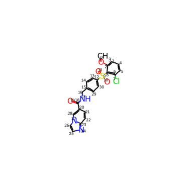 COc1cccc(Cl)c1S(=O)(=O)c1ccc(CNC(=O)c2ccc3nccn3c2)cc1